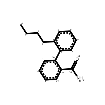 CCCCc1ccccc1-c1ccccc1C(N)=O